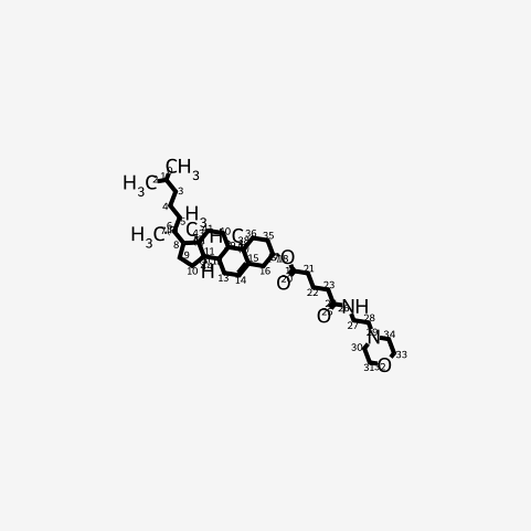 CC(C)CCC[C@@H](C)C1CC[C@H]2C3CC=C4C[C@@H](OC(=O)CCCC(=O)NCCN5CCOCC5)CC[C@]4(C)C3CC[C@]12C